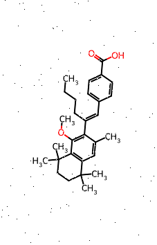 CCCCC(=Cc1ccc(C(=O)O)cc1)c1c(C)cc2c(c1OC)C(C)(C)CCC2(C)C